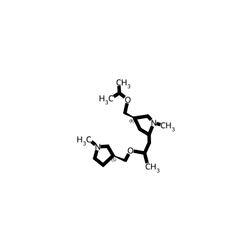 CC(C)OC[C@@H]1CC(CC(C)OC[C@H]2CCN(C)C2)N(C)C1